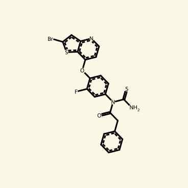 NC(=S)N(C(=O)Cc1ccccc1)c1ccc(Oc2ccnc3cc(Br)sc23)c(F)c1